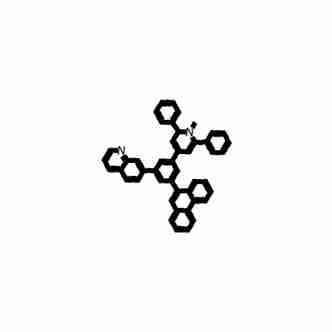 CN1C(c2ccccc2)=CC(c2cc(-c3ccc4cccnc4c3)cc(-c3cc4ccccc4c4ccccc34)c2)=CC1c1ccccc1